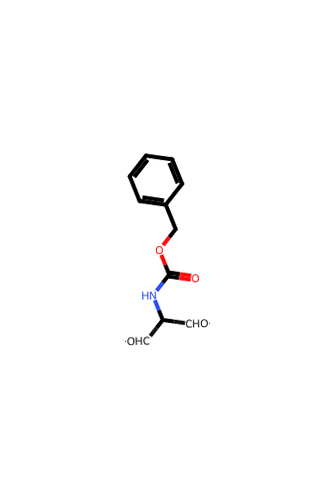 O=[C]C([C]=O)NC(=O)OCc1ccccc1